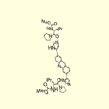 COC(=O)N[C@H](C(=O)N1CCC[C@H]1c1ncc(-c2ccc3nc4cc(-c5cnc([C@@H]6CCCN6C(=O)[C@@H](NC(=O)OC)C(C)C)[nH]5)ccc4cc3c2)[nH]1)C(C)C